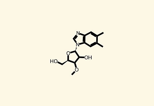 COC1C(O)[C@@H](n2cnc3cc(C)c(C)cc32)O[C@@H]1CO